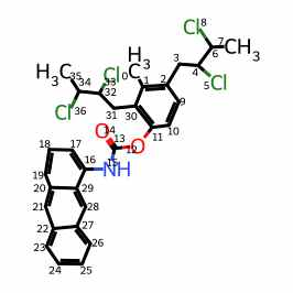 Cc1c(CC(Cl)C(C)Cl)ccc(OC(=O)Nc2cccc3cc4ccccc4cc23)c1CC(Cl)C(C)Cl